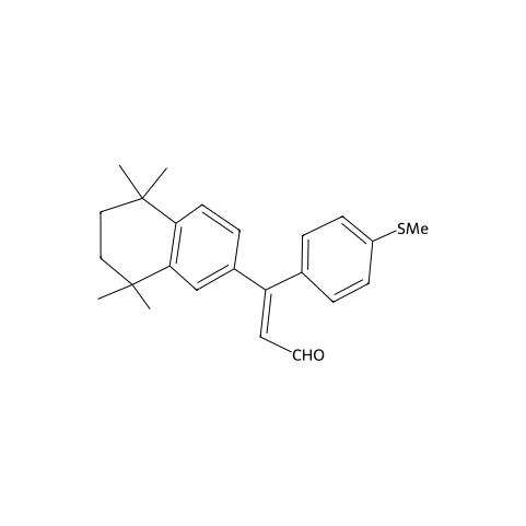 CSc1ccc(C(=CC=O)c2ccc3c(c2)C(C)(C)CCC3(C)C)cc1